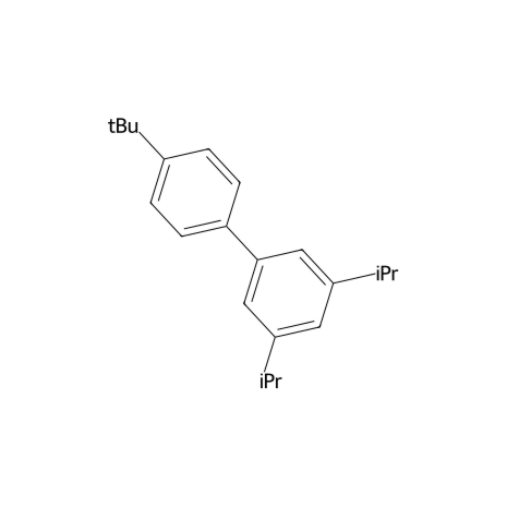 CC(C)c1cc(-c2ccc(C(C)(C)C)cc2)cc(C(C)C)c1